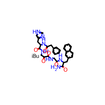 CC[C@H](C)C(NC(=O)C(Cc1c[nH]cn1)NC(=O)Cc1ccccc1)C(=O)C(=O)NCC(=O)NC(Cc1ccc2ccccc2c1)C(N)=O